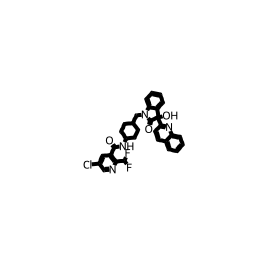 O=C(NC1CCC(CN2C(=O)C(O)(c3ccc4ccccc4n3)c3ccccc32)CC1)c1cc(Cl)cnc1C(F)F